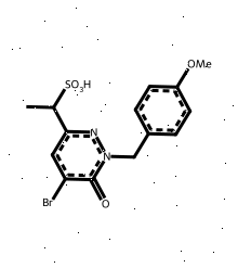 COc1ccc(Cn2nc(C(C)S(=O)(=O)O)cc(Br)c2=O)cc1